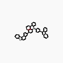 C1=CC2C=C(c3ccc(N(c4ccc(-c5ccc6c(ccc7oc8ccccc8c76)c5)cc4)c4ccccc4C4=CCCC=C4)cc3)c3ccccc3C2C=C1